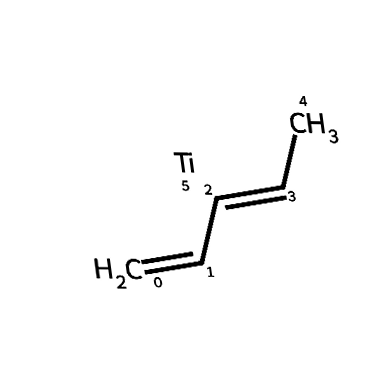 C=C/C=C/C.[Ti]